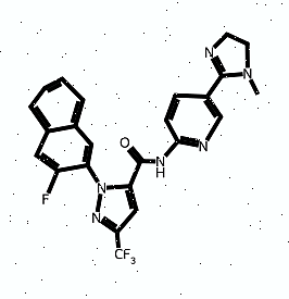 CN1CCN=C1c1ccc(NC(=O)c2cc(C(F)(F)F)nn2-c2cc3ccccc3cc2F)nc1